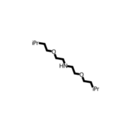 CC(C)CCOCCNCCOCCC(C)C